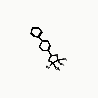 CC1(C)OB(C2=CCN(c3ccccc3)CC2)OC1(C)C